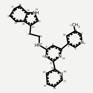 Cc1cncc(-c2cc(NCCc3c[nH]c4ccccc34)nc(-c3ccccn3)n2)c1